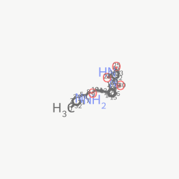 CC1CCN(C[C@H](N)COCC#Cc2cccc3c2CN(C2CCC(=O)NC2=O)C3=O)CC1